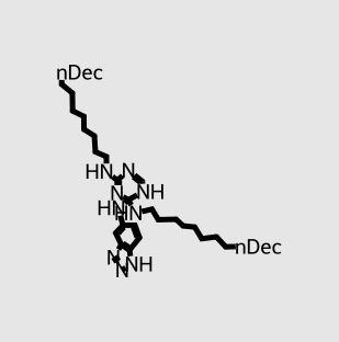 CCCCCCCCCCCCCCCCCCNC1=NC(NCCCCCCCCCCCCCCCCCC)(Nc2ccc3[nH]nnc3c2)NC=N1